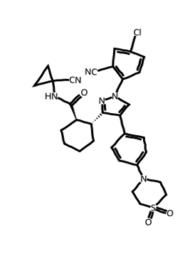 N#Cc1cc(Cl)ccc1-n1cc(-c2ccc(N3CCS(=O)(=O)CC3)cc2)c([C@@H]2CCCC[C@H]2C(=O)NC2(C#N)CC2)n1